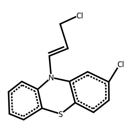 ClCC=CN1c2ccccc2Sc2ccc(Cl)cc21